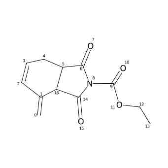 C=C1C=CCC2C(=O)N(C(=O)OCC)C(=O)C12